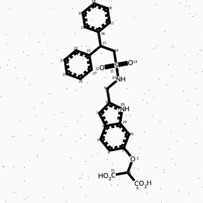 O=C(O)C(Oc1ccc2cc(CNS(=O)(=O)CC(c3ccccc3)c3ccccc3)[nH]c2c1)C(=O)O